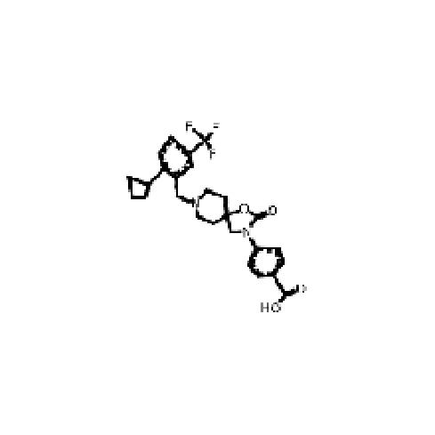 O=C(O)c1ccc(N2CC3(CCN(Cc4cc(C(F)(F)F)ccc4C4CCC4)CC3)OC2=O)cc1